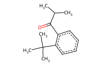 CC(C)C(=O)c1ccccc1C(C)(C)C